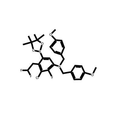 COc1ccc(CN(Cc2ccc(OC)cc2)c2cc(B3OC(C)(C)C(C)(C)O3)c(CC(F)F)c(Cl)c2F)cc1